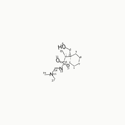 CC(C1(CO)CCCCC1)S(=O)(=O)/N=C/N(C)C